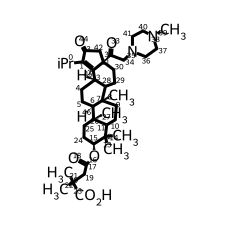 CC(C)C1=C2[C@H]3CC[C@H]4[C@@](C)(CCC5C(C)(C)[C@@H](OC(=O)CC(C)(C)C(=O)O)CC[C@@]54C)C3CC[C@@]2(C(=O)CN2CCN(C)CC2)CC1=O